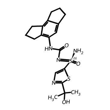 CC(C)(O)c1ncc([S@@](N)(=O)=NC(=O)Nc2cc3c(c4c2CCC4)CCC3)s1